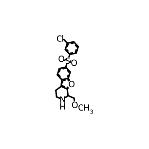 COCC1NCCc2c1oc1cc(S(=O)(=O)c3cccc(Cl)c3)ccc21